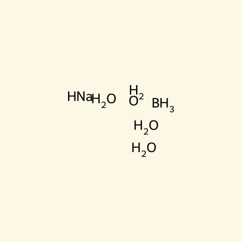 B.O.O.O.O.[NaH]